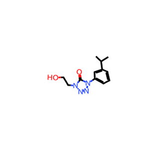 CC(C)c1cccc(-n2nnn(CCO)c2=O)c1